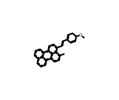 COC1C=CC(/C=C/c2ccc3c4cccc5cccc(c6ccc(C)c2c63)c54)=CC1